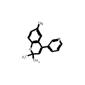 CC1(C)C=C(c2cccnc2)c2cc(C#N)ccc2O1